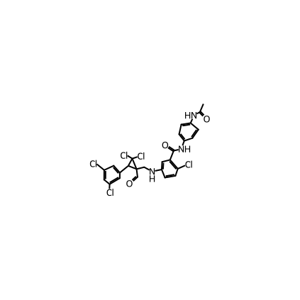 CC(=O)Nc1ccc(NC(=O)c2cc(NCC3(C=O)C(c4cc(Cl)cc(Cl)c4)C3(Cl)Cl)ccc2Cl)cc1